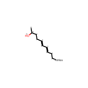 CCCCCCCCC=CC=CCCC(C)O